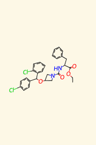 CCOC(=O)C(Cc1ccccc1)NC(=O)N1CC(OC(c2ccc(Cl)cc2)c2ccccc2Cl)C1